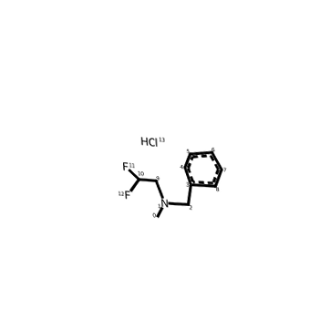 CN(Cc1ccccc1)CC(F)F.Cl